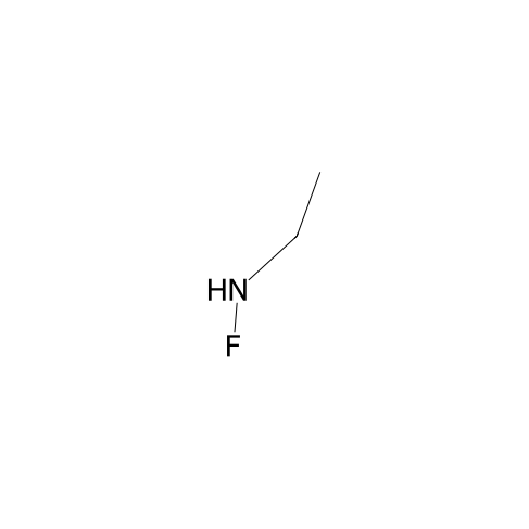 CCNF